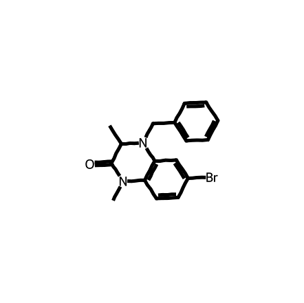 CC1C(=O)N(C)c2ccc(Br)cc2N1Cc1ccccc1